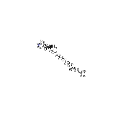 NN(CCOCCOCCOCCOCCC(=O)NCCCC1CCCC1)C(=O)OC1CC/C=C/CCC1